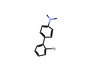 CC(=O)c1ccccc1-c1ccc(N(C)C)cc1